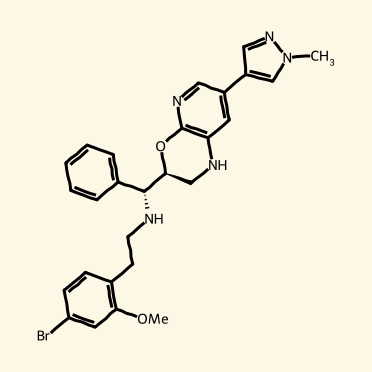 COc1cc(Br)ccc1CCN[C@H](c1ccccc1)[C@@H]1CNc2cc(-c3cnn(C)c3)cnc2O1